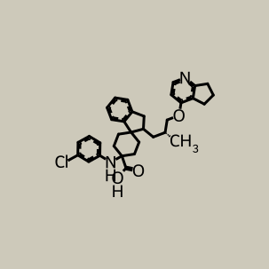 C[C@@H](COc1ccnc2c1CCC2)CC1Cc2ccccc2C12CCC(Nc1cccc(Cl)c1)(C(=O)O)CC2